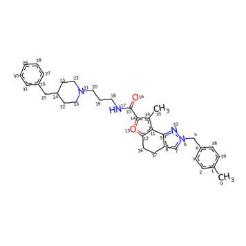 Cc1ccc(Cn2cc3c(n2)-c2c(oc(C(=O)NCCCN4CCC(Cc5ccccc5)CC4)c2C)CC3)cc1